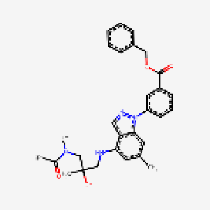 Cc1cc(NCC(O)(CN(C(=O)C(C)C)C(C)C)C(F)(F)F)c2cnn(-c3cccc(C(=O)OCc4ccccc4)c3)c2c1